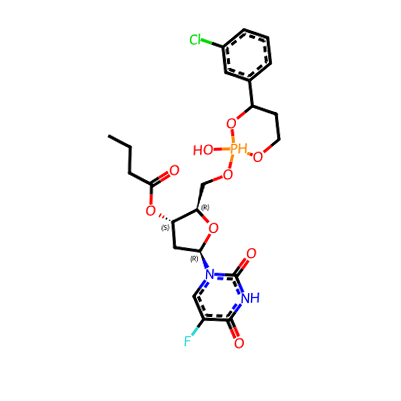 CCCC(=O)O[C@H]1C[C@H](n2cc(F)c(=O)[nH]c2=O)O[C@@H]1CO[PH]1(O)OCCC(c2cccc(Cl)c2)O1